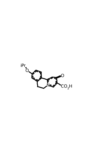 CC(C)Oc1ccc2c(c1)CCn1cc(C(=O)O)c(=O)cc1-2